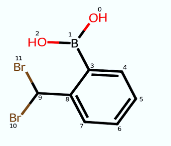 OB(O)c1ccccc1C(Br)Br